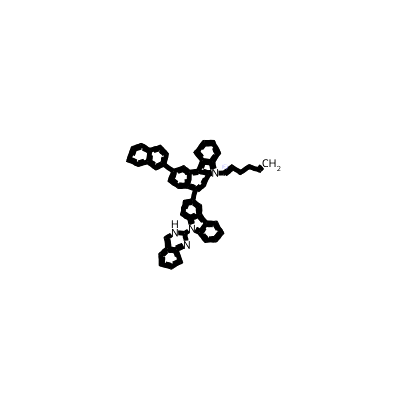 C=CCC/C=C/n1c2ccccc2c2c3cc(-c4ccc5ccccc5c4)ccc3c(-c3ccc4c(c3)c3ccccc3n4C3N=c4ccccc4=CN3)cc21